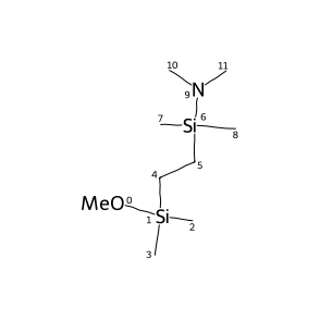 CO[Si](C)(C)CC[Si](C)(C)N(C)C